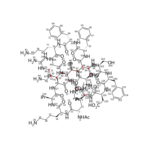 CC(=O)N[C@@H](Cc1c[nH]c2ccccc12)C(=O)N[C@@H](CCCCN)C(=O)N[C@H](C(=O)N[C@@H](CCCNC(=N)N)C(=O)N[C@@H](CCCCN)C(=O)N[C@@H](CO)C(=O)N[C@@H](Cc1ccccc1)C(=O)N[C@@H](Cc1ccccc1)C(=O)N[C@@H](CCCCN)C(=O)N[C@@H](CC(C)C)C(=O)N[C@@H](CCC(=O)O)C(=O)NCC(=O)N[C@@H](CO)C(=O)N[C@@H](Cc1ccccc1)C(=O)N[C@@H](CC(=O)O)C(=O)N[C@H](C(=O)N[C@H]([C]=O)CO)C(C)C)C(C)C